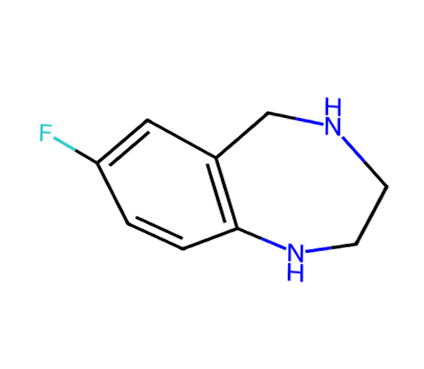 Fc1ccc2c(c1)CNCCN2